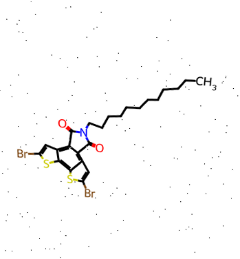 CCCCCCCCCCCCN1C(=O)c2c(c3cc(Br)sc3c3sc(Br)cc23)C1=O